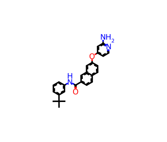 CC(C)(C)c1cccc(NC(=O)c2ccc3ccc(Oc4ccnc(N)c4)cc3c2)c1